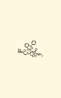 CCNC(=O)/C=C\SC1=C(C(=O)OC(c2ccccc2)c2ccccc2)N2C(=O)[C@@H](N)[C@@H]2SC1